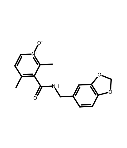 Cc1cc[n+]([O-])c(C)c1C(=O)NCc1ccc2c(c1)OCO2